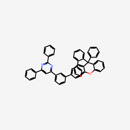 c1ccc(-c2cc(-c3cccc(-c4cccc(-c5ccccc5C5(c6ccccc6)c6ccccc6Oc6ccccc65)c4)c3)nc(-c3ccccc3)n2)cc1